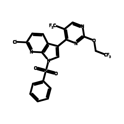 O=S(=O)(c1ccccc1)n1cc(-c2nc(OCC(F)(F)F)ncc2C(F)(F)F)c2ccc(Cl)nc21